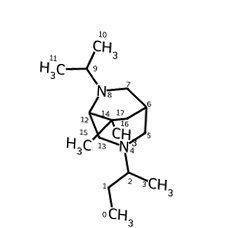 CCC(C)N1CC2CN(C(C)C)C(C1)C(C)(C)C2